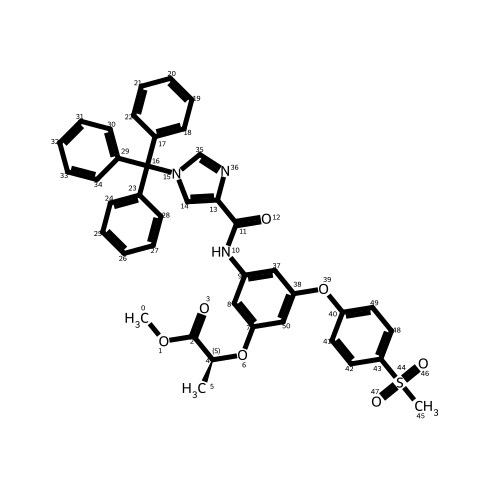 COC(=O)[C@H](C)Oc1cc(NC(=O)c2cn(C(c3ccccc3)(c3ccccc3)c3ccccc3)cn2)cc(Oc2ccc(S(C)(=O)=O)cc2)c1